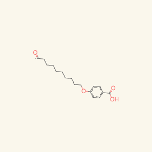 O=[C]CCCCCCCCCOc1ccc(C(=O)O)cc1